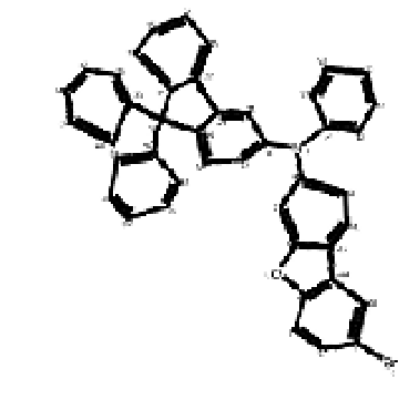 Brc1ccc2oc3cc(N(c4ccccc4)c4ccc5c(c4)-c4ccccc4C5(c4ccccc4)c4ccccc4)ccc3c2c1